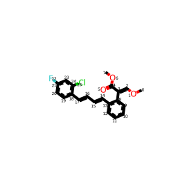 CO/C=C(/C(=O)OC)c1ccccc1/C=C/C=C/c1ccc(F)cc1Cl